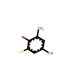 Cc1cc(C#N)cc(F)c1I